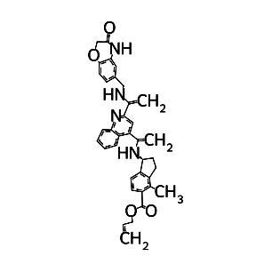 C=CCOC(=O)c1ccc2c(c1C)CC[C@@H]2NC(=C)c1cc(C(=C)NCc2ccc3c(c2)NC(=O)CO3)nc2ccccc12